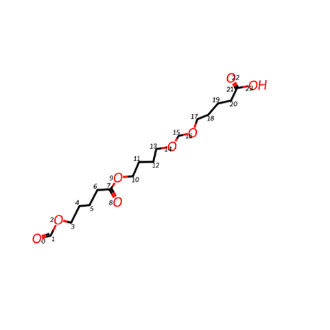 O=COCCCCC(=O)OCCCCOCOCCCCC(=O)O